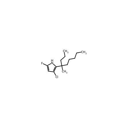 CCCCCC(C)(CCC)c1[nH]c(F)cc1Cl